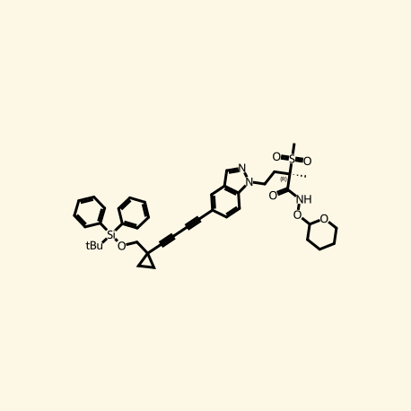 CC(C)(C)[Si](OCC1(C#CC#Cc2ccc3c(cnn3CC[C@](C)(C(=O)NOC3CCCCO3)S(C)(=O)=O)c2)CC1)(c1ccccc1)c1ccccc1